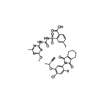 C#CC(C)Oc1cc(N2C(=O)C3=C(CCCC3)C2=O)c(F)cc1Cl.COc1nc(C)nc(NC(=O)NS(=O)(=O)c2cc(I)ccc2C(=O)O)n1